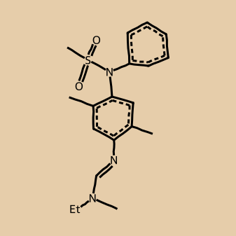 CCN(C)C=Nc1cc(C)c(N(c2ccccc2)S(C)(=O)=O)cc1C